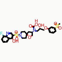 CS(=O)(=O)c1cccc(OC[C@@H](O)CN(C(=O)O)[C@H]2COC3(CCN(S(=O)(=O)c4cnc5c(F)cccc5c4O)CC3)C2)c1